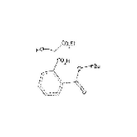 CCCCOC(=O)c1ccccc1C(=O)O.CCOC(=O)CO